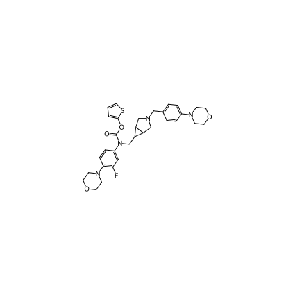 O=C(Oc1cccs1)N(CC1C2CN(Cc3ccc(N4CCOCC4)cc3)CC21)c1ccc(N2CCOCC2)c(F)c1